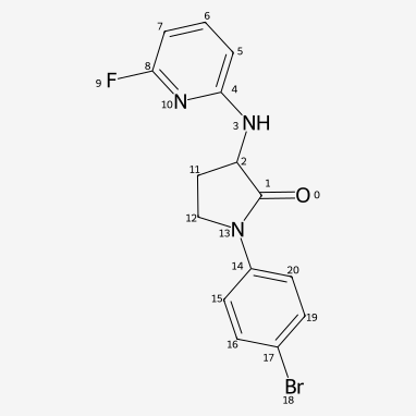 O=C1C(Nc2cccc(F)n2)CCN1c1ccc(Br)cc1